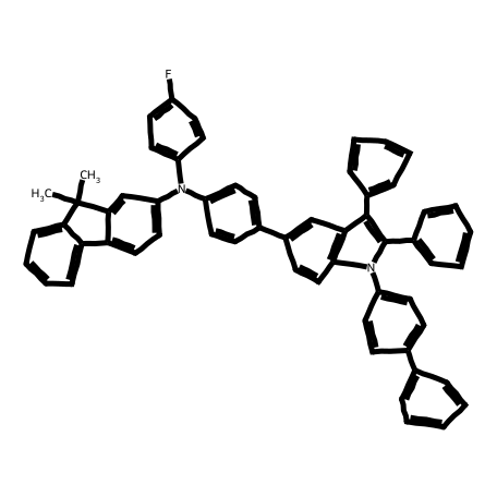 CC1(C)c2ccccc2-c2ccc(N(c3ccc(F)cc3)c3ccc(-c4ccc5c(c4)c(-c4ccccc4)c(-c4ccccc4)n5-c4ccc(-c5ccccc5)cc4)cc3)cc21